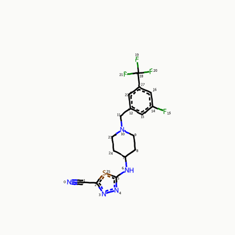 N#Cc1nnc(NC2CCN(Cc3cc(F)cc(C(F)(F)F)c3)CC2)s1